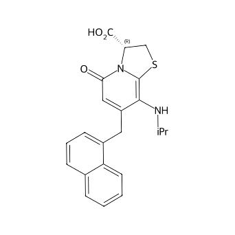 CC(C)Nc1c(Cc2cccc3ccccc23)cc(=O)n2c1SC[C@H]2C(=O)O